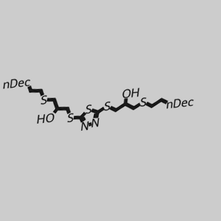 CCCCCCCCCCCCSCC(O)CSc1nnc(SCC(O)CSCCCCCCCCCCCC)s1